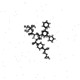 CCOC(=O)N1CCN(C(=O)[C@H](CCC(=O)OC(C)(C)C)NC(=O)c2cc(C3CCCC3)nc(-c3ccccc3)n2)CC1